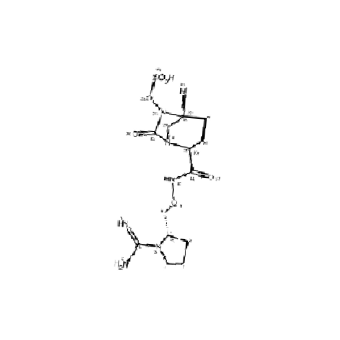 N=C(N)N1CCC[C@H]1CONC(=O)[C@@H]1CC[C@@H]2CN1C(=O)N2OS(=O)(=O)O